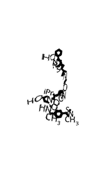 Cc1ncsc1-c1ccc(C(C)NC(=O)[C@@H]2C[C@@H](O)CN2C(=O)C(c2cc(OCCN3CC(c4cc5cc(-c6ccccc6O)nnc5s4)C3)no2)C(C)C)cc1